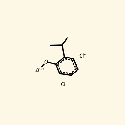 CC(C)c1ccccc1[O][Zr+2].[Cl-].[Cl-]